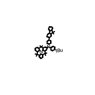 CC(C)(C)c1ccc(N(c2ccc(-c3ccc4c(c3)C(C)(C)c3ccccc3-4)cc2)c2cc3c4c(c2)C(C)(C)c2cccc5c2N4c2c(cccc2C3(C)C)C5(C)C)cc1